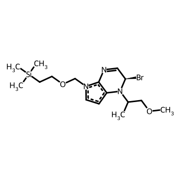 COCC(C)N1c2ccn(COCC[Si](C)(C)C)c2N=C[C@H]1Br